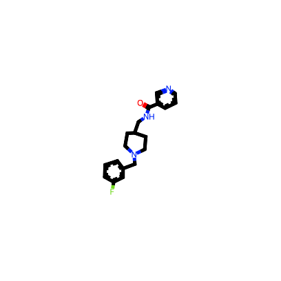 O=C(NCC1CCN(Cc2cccc(F)c2)CC1)c1cccnc1